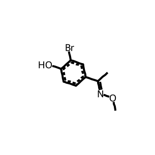 CO/N=C(\C)c1ccc(O)c(Br)c1